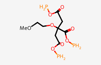 COCCOC(CC(=O)OP)(CC(=O)OP)C(=O)OP